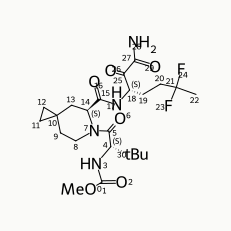 COC(=O)N[C@H](C(=O)N1CCC2(CC2)C[C@H]1C(=O)N[C@@H](CCC(C)(F)F)C(=O)C(N)=O)C(C)(C)C